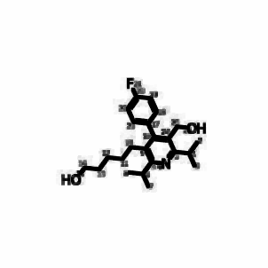 CC(C)c1nc(C(C)C)c(CCCCCO)c(-c2ccc(F)cc2)c1CO